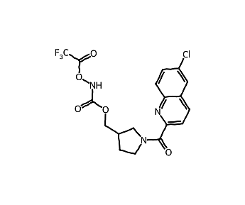 O=C(NOC(=O)C(F)(F)F)OCC1CCN(C(=O)c2ccc3cc(Cl)ccc3n2)C1